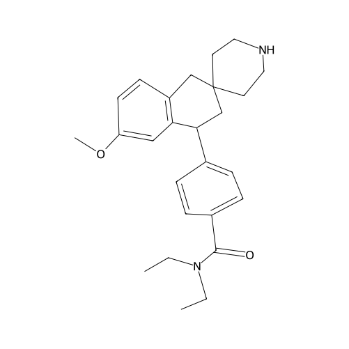 CCN(CC)C(=O)c1ccc(C2CC3(CCNCC3)Cc3ccc(OC)cc32)cc1